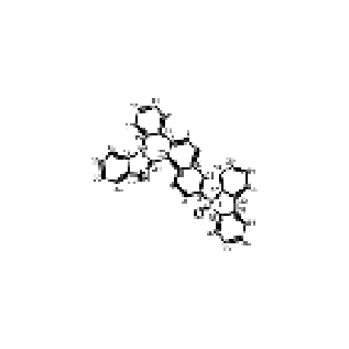 O=P1(c2ccc3c(ccc4c5ccccc5n5c6ccccc6nc5c34)c2)c2ccccc2-c2ccccc21